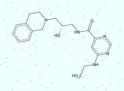 O=C(O)CNc1cc(C(=O)NC[C@H](O)CN2CCc3ccccc3C2)ncn1